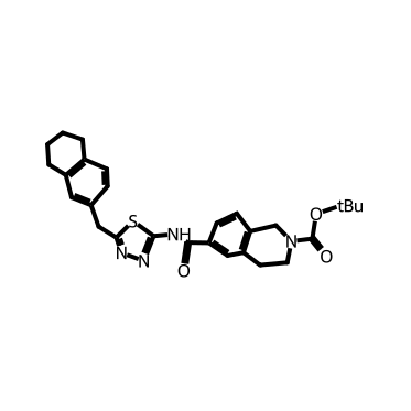 CC(C)(C)OC(=O)N1CCc2cc(C(=O)Nc3nnc(Cc4ccc5c(c4)CCCC5)s3)ccc2C1